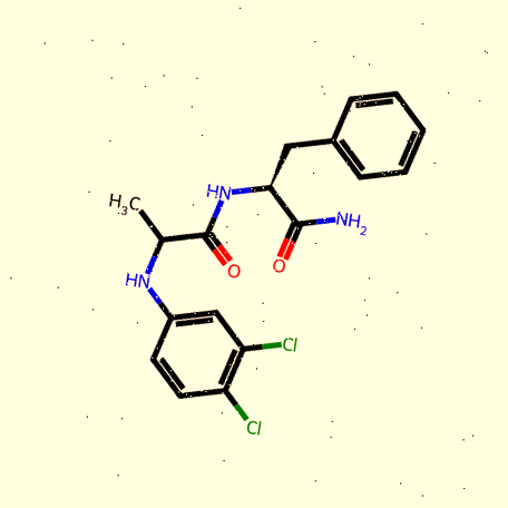 CC(Nc1ccc(Cl)c(Cl)c1)C(=O)N[C@@H](Cc1ccccc1)C(N)=O